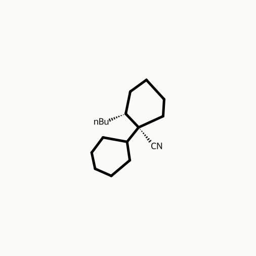 CCCC[C@@H]1CCCC[C@@]1(C#N)C1CCCCC1